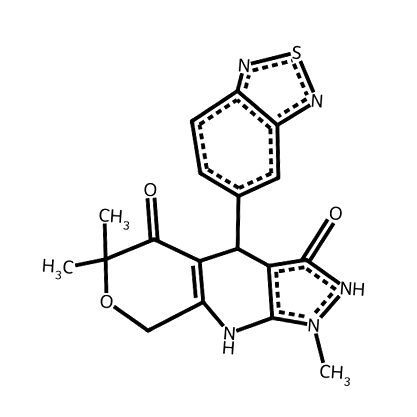 Cn1[nH]c(=O)c2c1NC1=C(C(=O)C(C)(C)OC1)C2c1ccc2nsnc2c1